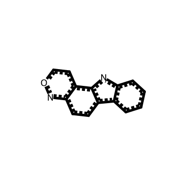 c1ccc2c(c1)nc1c3cconc3ccc21